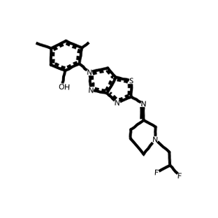 Cc1cc(C)c(-n2cc3sc(/N=C4\CCCN(CC(F)F)C4)nc3n2)c(O)c1